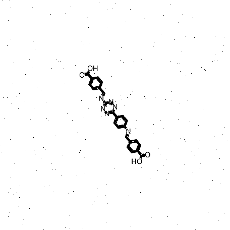 O=C(O)c1ccc(/C=N/c2ccc(-c3nnc(/N=C/c4ccc(C(=O)O)cc4)nn3)cc2)cc1